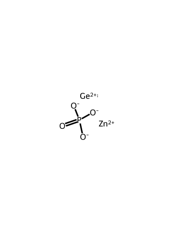 O=P([O-])([O-])[O-].[Ge+2].[Zn+2]